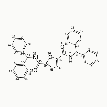 O=C(NC(c1ccccc1)c1ccccc1)c1ccc(C(=O)NC(c2ccccc2)c2ccccc2)o1